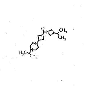 CC(C)C1CN(C(=O)N2CC(N3CCN(C(C)C)CC3)C2)C1